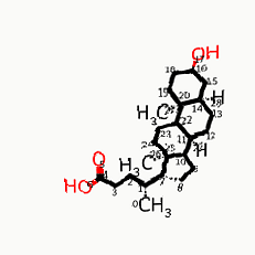 C[C@H](CCC(=O)O)[C@H]1CCC2[C@@H]3CC[C@@H]4C[C@H](O)CC[C@]4(C)C3CC[C@@]21C